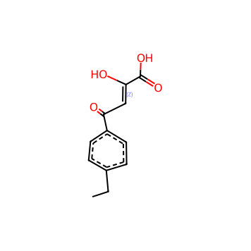 CCc1ccc(C(=O)/C=C(\O)C(=O)O)cc1